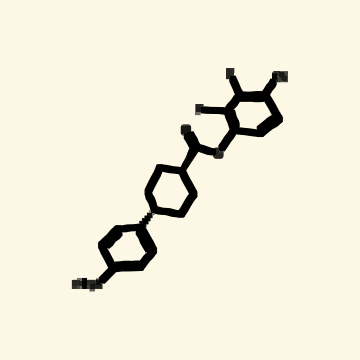 CCCCCCCc1ccc([C@H]2CC[C@H](C(=O)Oc3ccc(C#N)c(F)c3F)CC2)cc1